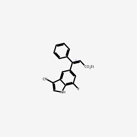 [C-]#[N+]c1c[nH]c2c(F)cc(/C(=C\C(=O)OCC)c3ccccc3)cc12